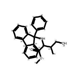 COC(=O)C(NC1(c2ccccc2)c2ccccc2-c2ccccc21)C(C)CO